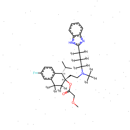 [2H]C([2H])([2H])N(CC[C@]1(OC(=O)COC)[C@@H](C(C)C)c2ccc(F)cc2C([2H])([2H])C1([2H])[2H])C([2H])([2H])C([2H])([2H])C([2H])([2H])c1nc2ccccc2[nH]1